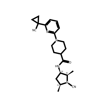 C[C@@H]1[C@H](NC(=O)C2CCN(c3cccc(C4(C#N)CC4)n3)CC2)C[C@H](C)N1C#N